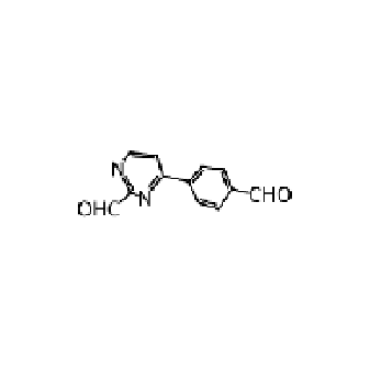 O=Cc1ccc(-c2ccnc(C=O)n2)cc1